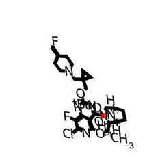 C[C@@H]1Oc2nc(Cl)c(F)c3nc(OCC4(CN5CCC(=CF)CC5)CC4)nc(c23)N2C[C@H]3CC[C@@H]([C@@H]12)N3C(=O)OC(C)(C)C